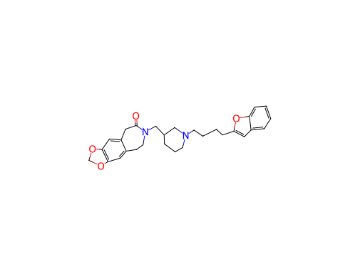 O=C1Cc2cc3c(cc2CCN1CC1CCCN(CCCCc2cc4ccccc4o2)C1)OCO3